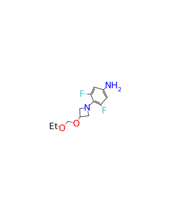 CCOCOC1CN(c2c(F)cc(N)cc2F)C1